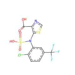 O=C(O)c1ncsc1N(c1cc(C(F)(F)F)ccc1Cl)S(=O)(=O)O